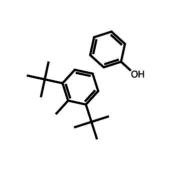 Cc1c(C(C)(C)C)cccc1C(C)(C)C.Oc1ccccc1